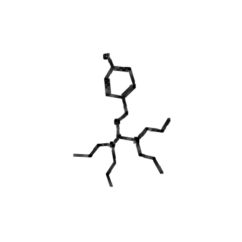 CCCN(CCC)P(OCc1ccc(Cl)cc1)N(CCC)CCC